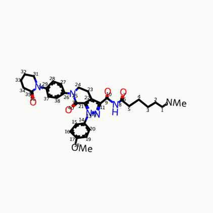 CNCCCCCC(=O)NC(=O)c1nn(-c2ccc(OC)cc2)c2c1CCN(c1ccc(N3CCCCC3=O)cc1)C2=O